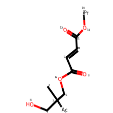 CC(=O)C(C)(CO)COC(=O)/C=C/C(=O)OC(C)C